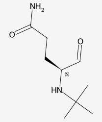 CC(C)(C)N[C@H](C=O)CCC(N)=O